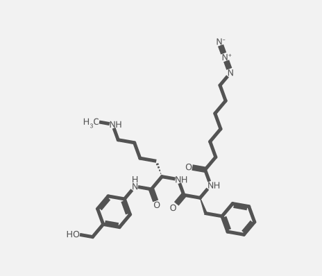 CNCCCC[C@H](NC(=O)[C@H](Cc1ccccc1)NC(=O)CCCCCCN=[N+]=[N-])C(=O)Nc1ccc(CO)cc1